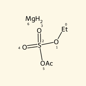 CCOS(=O)(=O)OC(C)=O.[MgH2]